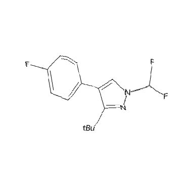 CC(C)(C)c1nn(C(F)F)cc1-c1ccc(F)cc1